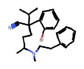 CC(CCC(C#N)(c1ccccc1Br)C(C)C)N(C)CCc1ccccc1